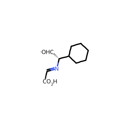 O=[C][C@@H](N=CC(=O)O)C1CCCCC1